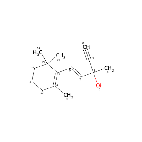 C#CC(C)(O)C=CC1=C(C)CCCC1(C)C